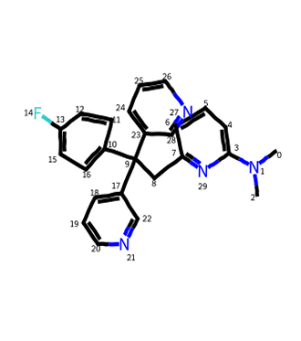 CN(C)c1cccc(CC(c2ccc(F)cc2)(c2cccnc2)c2cccnc2)n1